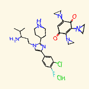 CC(C)C(N)CCn1cc(-c2ccc(F)c(Cl)c2)nc1C1CCNCC1.Cl.O=C1C=C(N2CC2)C(=O)C(N2CC2)=C1N1CC1